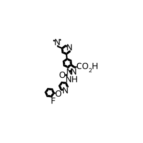 CN(C)Cc1cncc(-c2ccc3c(c2)c(C(=O)O)nn3C(=O)Nc2ccc(Oc3ccccc3F)nc2)c1